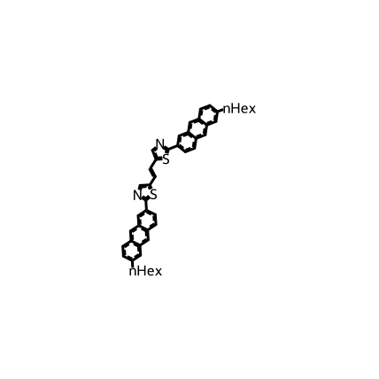 CCCCCCc1ccc2cc3cc(-c4ncc(/C=C/c5cnc(-c6ccc7cc8cc(CCCCCC)ccc8cc7c6)s5)s4)ccc3cc2c1